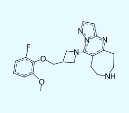 COc1cccc(F)c1OCC1CN(c2c3c(nc4ccnn24)CCNCC3)C1